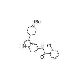 CC(C)(C)N1CCC(c2c[nH]c3ccc(NC(=O)c4ccccc4Cl)cc23)CC1